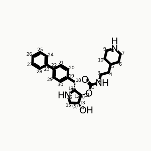 O=C(NCCC1CCNCC1)O[C@@H]1[C@@H](O)CN[C@@H]1Cc1ccc(-c2ccccc2)cc1